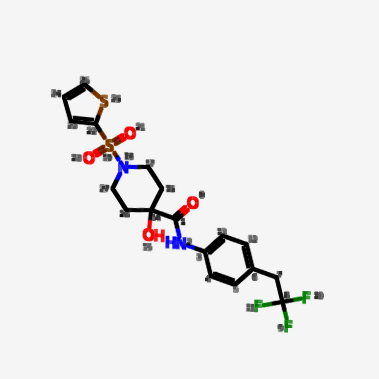 O=C(Nc1ccc(CC(F)(F)F)cc1)C1(O)CCN(S(=O)(=O)c2cccs2)CC1